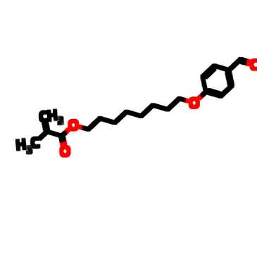 C=C(C)C(=O)OCCCCCCCCOc1ccc(C=O)cc1